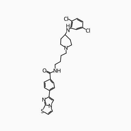 O=C(NCCCCN1CCC(Nc2cc(Cl)ccc2Cl)CC1)c1ccc(-c2cn3ccsc3n2)cc1